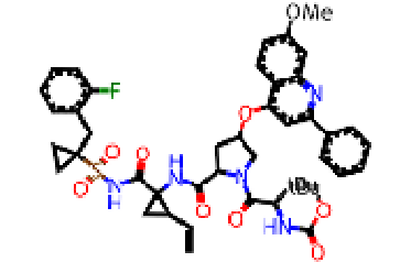 C=CC1CC1(NC(=O)C1CC(Oc2cc(-c3ccccc3)nc3cc(OC)ccc23)CN1C(=O)C(NC(=O)OC(C)(C)C)C(C)(C)C)C(=O)NS(=O)(=O)C1(Cc2ccccc2F)CC1